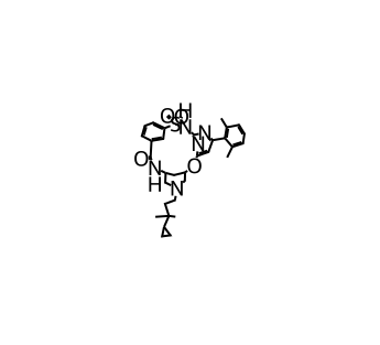 Cc1cccc(C)c1-c1cc2nc(n1)NS(=O)(=O)c1cccc(c1)C(=O)NC1CC(CN(CCC(C)(C)C3CC3)C1)O2